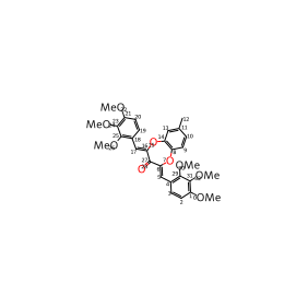 COc1ccc(/C=C2\Oc3ccc(C)cc3O/C(=C\c3ccc(OC)c(OC)c3OC)C2=O)c(OC)c1OC